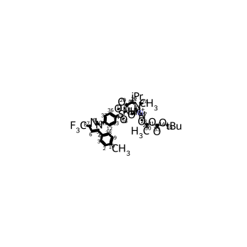 Cc1ccc(-c2cc(C(F)(F)F)nn2-c2ccc(S(=O)(=O)NC(=O)[C@H](C(C)C)N(C)/[N+]([O-])=N/OC(C)OC(=O)OC(C)(C)C)cc2)cc1